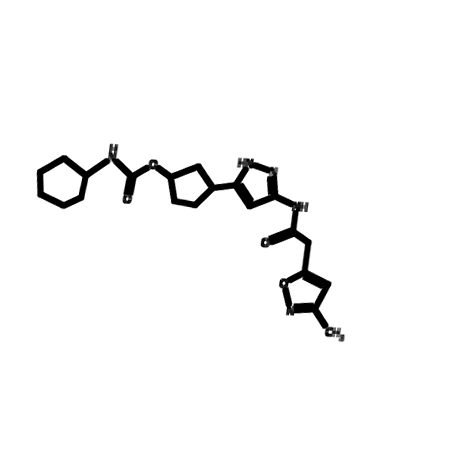 Cc1cc(CC(=O)Nc2cc(C3CCC(OC(=O)NC4CCCCC4)C3)[nH]n2)on1